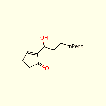 CCCCCCCC(O)C1=CCCC1=O